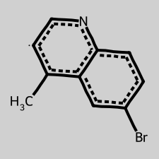 Cc1[c]cnc2ccc(Br)cc12